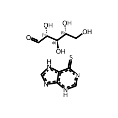 O=C[C@H](O)[C@H](O)[C@H](O)CO.S=c1nc[nH]c2nc[nH]c12